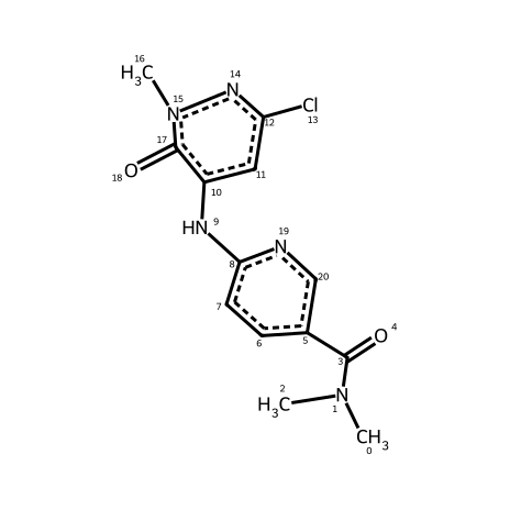 CN(C)C(=O)c1ccc(Nc2cc(Cl)nn(C)c2=O)nc1